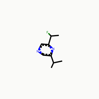 CC(C)c1cncc(C(C)F)n1